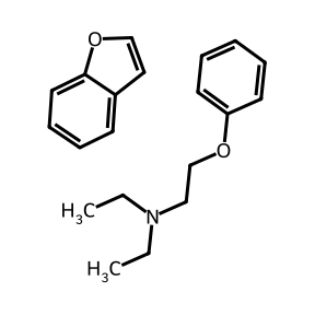 CCN(CC)CCOc1ccccc1.c1ccc2occc2c1